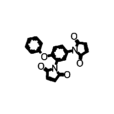 O=C1C=CC(=O)N1c1ccc(Oc2ccccc2)c(N2C(=O)C=CC2=O)c1